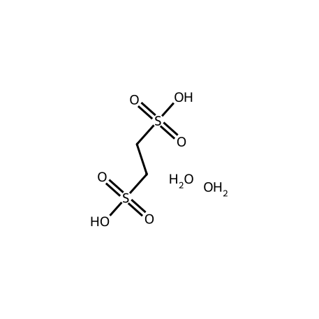 O.O.O=S(=O)(O)CCS(=O)(=O)O